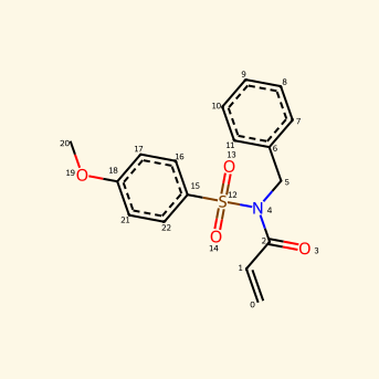 C=CC(=O)N(Cc1ccccc1)S(=O)(=O)c1ccc(OC)cc1